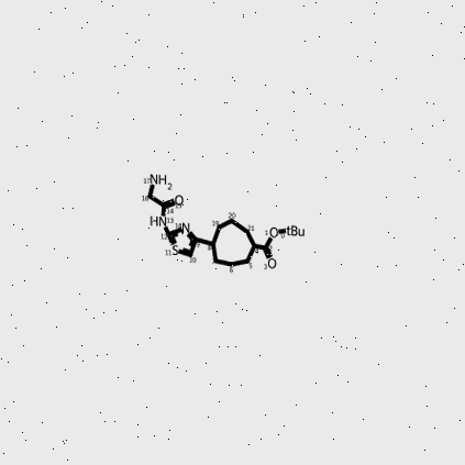 CC(C)(C)OC(=O)C1CCCC(c2csc(NC(=O)CN)n2)CCC1